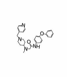 CN(CC(=O)Nc1ccc(Oc2ccccc2)cc1)C1CCN(Cc2ccncc2)CC1